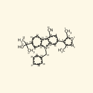 Cc1noc(C)c1-c1cc(C#N)c2c3ccc(C(C)(C)O)cc3n(Cc3ccccc3)c2c1